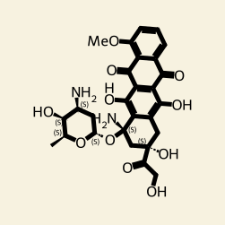 COc1cccc2c1C(=O)c1c(O)c3c(c(O)c1C2=O)C[C@@](O)(C(=O)CO)C[C@]3(N)O[C@H]1C[C@H](N)[C@H](O)[C@H](C)O1